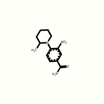 CC1CCCCN1c1ccc(C(N)=O)cc1[N+](=O)[O-]